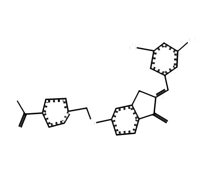 C=C(C)c1ccc(COc2ccc3c(c2)C/C(=C\c2cc(Cl)cc(Cl)c2)C3=C)cc1